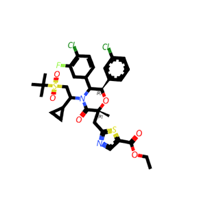 CCOC(=O)c1cnc(C[C@@]2(C)O[C@H](c3cccc(Cl)c3)C(C3C=CC(Cl)=C(F)C3)N(C(CS(=O)(=O)C(C)(C)C)C3CC3)C2=O)s1